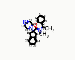 C[C@H](c1ccccc1)N(C)C(=O)C1(N2CCNCC2)Cc2ccccc2C1